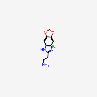 Cl.NCCc1nc2cc3c(cc2[nH]1)OCO3